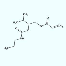 C=CC(=O)OCC(OC(=O)NCCC)C(C)C